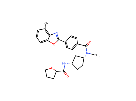 CN(C(=O)c1ccc(-c2nc3c(C#N)cccc3o2)cc1)[C@@H]1CC[C@H](NC(=O)C2CCCO2)C1